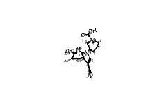 N#Cc1cn([C@@H]2CCCN(C(=O)O)C2)c2nc(Br)ccc12